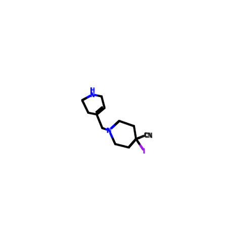 N#CC1(I)CCN(CC2=CCNCC2)CC1